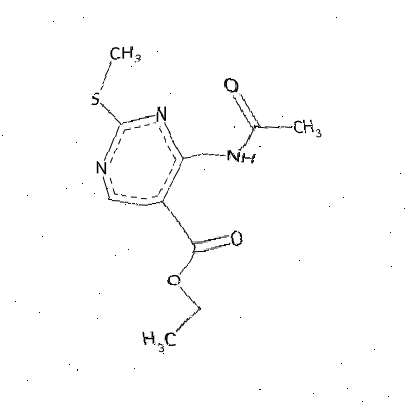 CCOC(=O)c1cnc(SC)nc1NC(C)=O